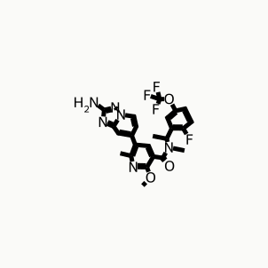 COc1nc(C)c(-c2ccn3nc(N)nc3c2)cc1C(=O)N(C)C(C)c1cc(OC(F)(F)F)ccc1F